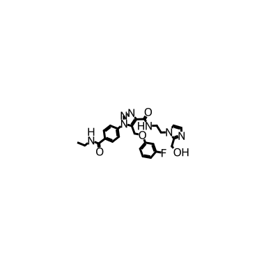 CCNC(=O)c1ccc(-n2nnc(C(=O)NCCn3ccnc3CO)c2COc2cccc(F)c2)cc1